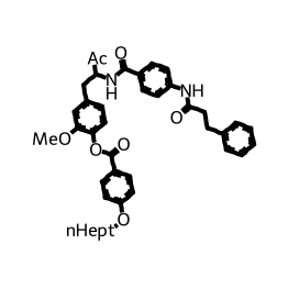 CCCCCCCOc1ccc(C(=O)Oc2ccc(CC(NC(=O)c3ccc(NC(=O)CCc4ccccc4)cc3)C(C)=O)cc2OC)cc1